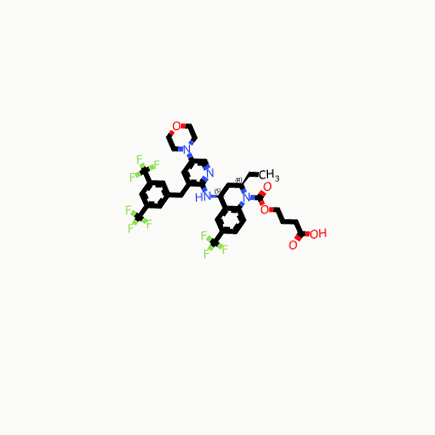 CC[C@@H]1C[C@H](Nc2ncc(N3CCOCC3)cc2Cc2cc(C(F)(F)F)cc(C(F)(F)F)c2)c2cc(C(F)(F)F)ccc2N1C(=O)OCCCC(=O)O